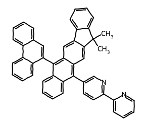 CC1(C)c2ccccc2-c2cc3c(-c4cc5ccccc5c5ccccc45)c4ccccc4c(-c4ccc(-c5ccccn5)nc4)c3cc21